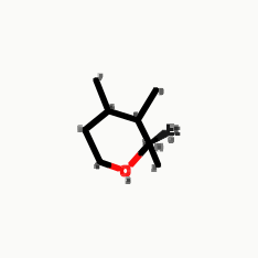 CC[C@@]1(C)OCCC(C)C1C